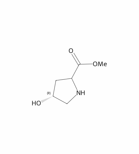 COC(=O)C1C[C@@H](O)CN1